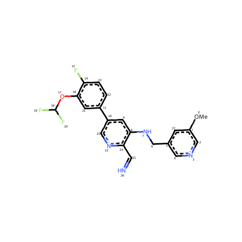 COc1cncc(CNc2cc(-c3ccc(F)c(OC(F)F)c3)cnc2C=N)c1